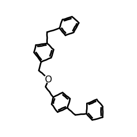 c1ccc(Cc2ccc(COCc3ccc(Cc4ccccc4)cc3)cc2)cc1